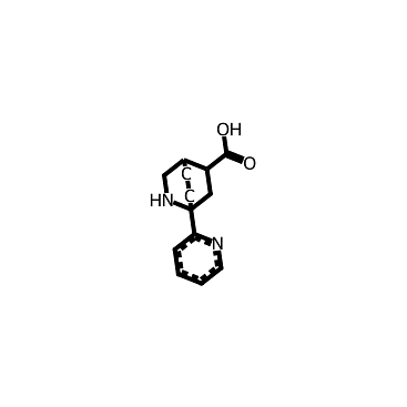 O=C(O)C1CC2(c3ccccn3)CCC1CN2